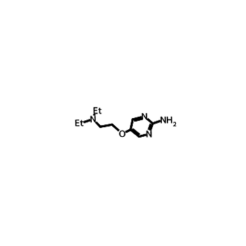 CCN(CC)CCOc1cnc(N)nc1